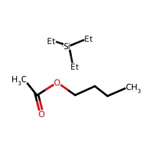 CCCCOC(C)=O.CC[Si](CC)CC